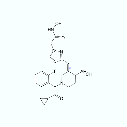 Cl.O=C(Cn1ccc(/C=C2\CN(C(C(=O)C3CC3)c3ccccc3F)CCC2S)n1)NO